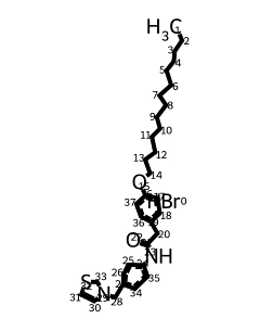 Br.CCCCCCCCCCCCCCOc1ccc(CC(=O)Nc2ccc(CN3C=CSC3)cc2)cc1